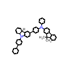 CC1(C)c2ccccc2-c2ccc(N(c3ccccc3)c3ccc(-c4ccc5c(c4)[C@H]4C=CC=CC4N5c4ccc(-c5ccccc5)cc4)cc3)cc21